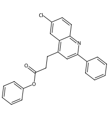 O=C(CCc1cc(-c2ccccc2)nc2ccc(Cl)cc12)Oc1ccccc1